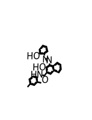 Cc1ccc(NC(=O)c2cc3ccccc3c(/N=N/c3ccccc3O)c2O)c(C)c1